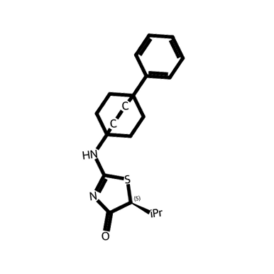 CC(C)[C@@H]1SC(NC23CCC(c4ccccc4)(CC2)CC3)=NC1=O